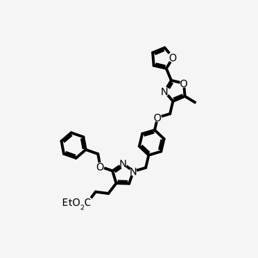 CCOC(=O)CCc1cn(Cc2ccc(OCc3nc(-c4ccco4)oc3C)cc2)nc1OCc1ccccc1